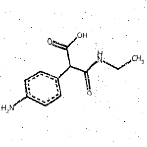 CCNC(=O)C(C(=O)O)c1ccc(N)cc1